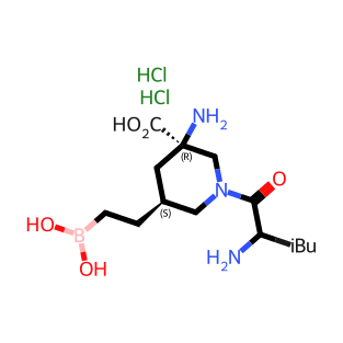 CCC(C)C(N)C(=O)N1C[C@@H](CCB(O)O)C[C@](N)(C(=O)O)C1.Cl.Cl